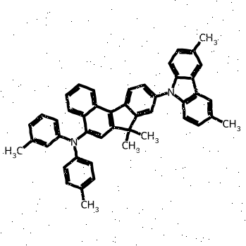 Cc1ccc(N(c2cccc(C)c2)c2cc3c(c4ccccc24)-c2ccc(-n4c5ccc(C)cc5c5cc(C)ccc54)cc2C3(C)C)cc1